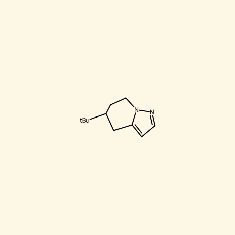 CC(C)(C)C1CCn2nccc2C1